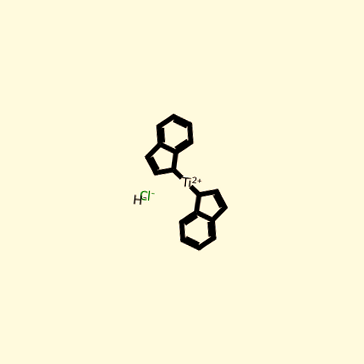 C1=C[CH]([Ti+2][CH]2C=Cc3ccccc32)c2ccccc21.[Cl-].[H-]